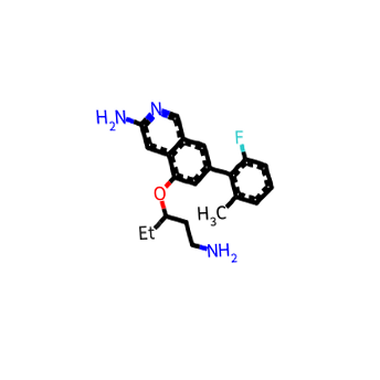 CCC(CCN)Oc1cc(-c2c(C)cccc2F)cc2cnc(N)cc12